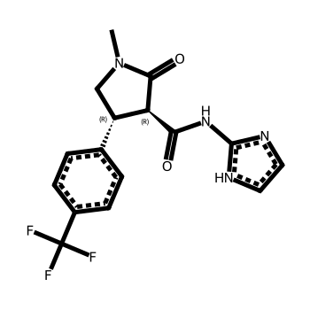 CN1C[C@@H](c2ccc(C(F)(F)F)cc2)[C@H](C(=O)Nc2ncc[nH]2)C1=O